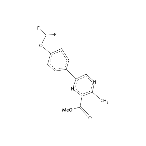 COC(=O)c1nc(-c2ccc(OC(F)F)cc2)cnc1C